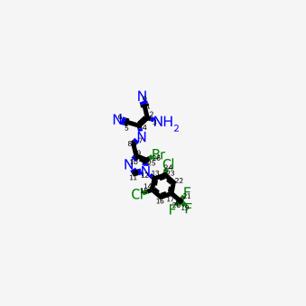 N#CC(N)=C(C#N)N=Cc1ncn(-c2c(Cl)cc(C(F)(F)F)cc2Cl)c1Br